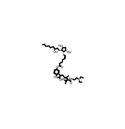 CCCCCC[C@H](O)CC[C@@H]1[C@@H](C/C=C\CCCC(=O)Oc2ccc3c(c2)/C(=C/c2[nH]c(C)c(C(=O)NCCN(CC)CC)c2C)C(=O)N3)[C@@H](O)C[C@H]1O